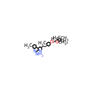 Cc1ccc2c(c1)nc(N)c1ncc(CCc3ccc(OCCO[Si](C)(C)C(C)(C)C)cc3C)cc12